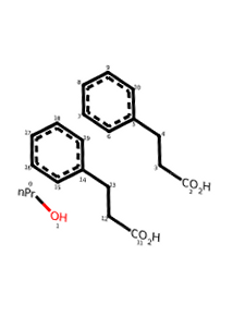 CCCO.O=C(O)CCc1ccccc1.O=C(O)CCc1ccccc1